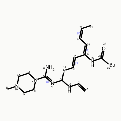 C=CNC(/N=C(\N)N1CCN(C)CC1)S/C=C/C(=C\C=C/C)NC(=O)C(C)CC